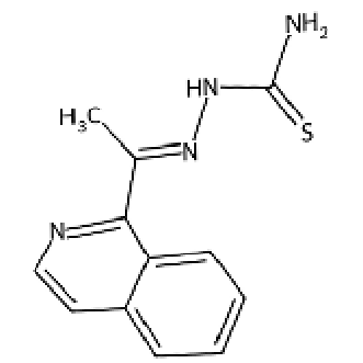 CC(=NNC(N)=S)c1nccc2ccccc12